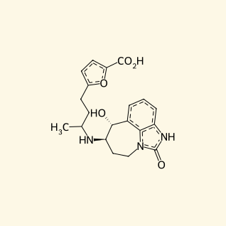 CC(CCc1ccc(C(=O)O)o1)N[C@@H]1CCn2c(=O)[nH]c3cccc(c32)[C@H]1O